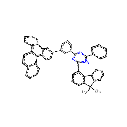 CC1(C)c2ccccc2-c2c(-c3nc(-c4ccccc4)nc(-c4cccc(-c5ccc6c(c5)c5ccccc5c5ccc7ccccc7c56)c4)n3)cccc21